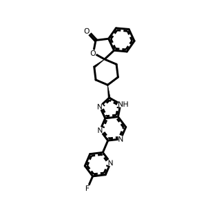 O=C1O[C@]2(CC[C@H](c3nc4nc(-c5ccc(F)cn5)ncc4[nH]3)CC2)c2ccccc21